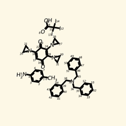 Cc1ccc(N)cc1.O=C(O)C(I)(I)I.O=C1C=C(N2CC2)C(=O)C(N2CC2)=C1N1CC1.c1ccc(CN(Cc2ccccc2)Cc2ccccc2)cc1